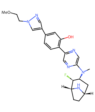 COCCn1cc(-c2ccc(-c3cnc(N(C)[C@H]4C[C@@H]5CC[C@@H](N5)[C@H]4F)cn3)c(O)c2)cn1